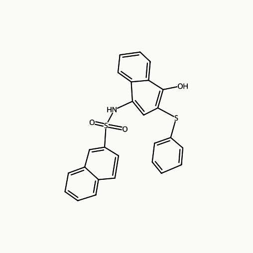 O=S(=O)(Nc1cc(Sc2ccccc2)c(O)c2ccccc12)c1ccc2ccccc2c1